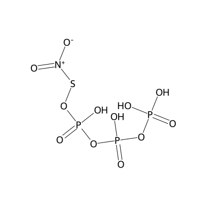 O=[N+]([O-])SOP(=O)(O)OP(=O)(O)OP(=O)(O)O